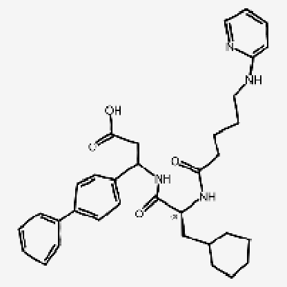 O=C(O)CC(NC(=O)[C@H](CC1CCCCC1)NC(=O)CCCCNc1ccccn1)c1ccc(-c2ccccc2)cc1